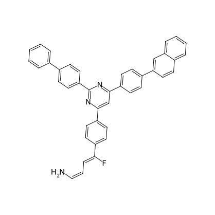 N/C=C\C=C(/F)c1ccc(-c2cc(-c3ccc(-c4ccc5ccccc5c4)cc3)nc(-c3ccc(-c4ccccc4)cc3)n2)cc1